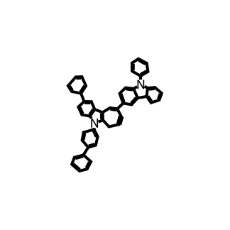 C1#CC(c2ccc3c(c2)c2ccccc2n3-c2ccccc2)=Cc2c(n(-c3ccc(-c4ccccc4)cc3)c3ccc(-c4ccccc4)cc23)C1